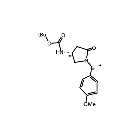 COc1ccc([C@@H](C)N2C[C@H](NC(=O)OC(C)(C)C)CC2=O)cc1